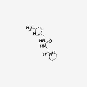 Cc1ccc(CNC(=O)NCC(=O)N2CCCCO2)cn1